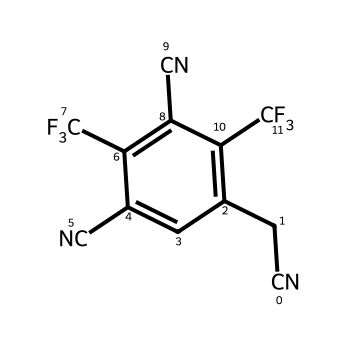 N#CCc1cc(C#N)c(C(F)(F)F)c(C#N)c1C(F)(F)F